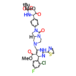 COC(=O)C1=C(CN2CCN3C(=O)N(c4ccc([C@@H](NC(=O)OC(C)(C)C)C(=O)OC)cc4)C[C@@H]3C2)NC(c2nccs2)=N[C@H]1c1ccc(F)cc1Cl